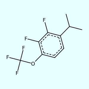 CC(C)c1ccc(OC(F)(F)F)c(F)c1F